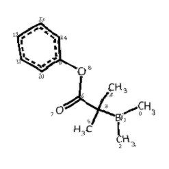 [CH3][Bi]([CH3])[C](C)(C)C(=O)Oc1ccccc1